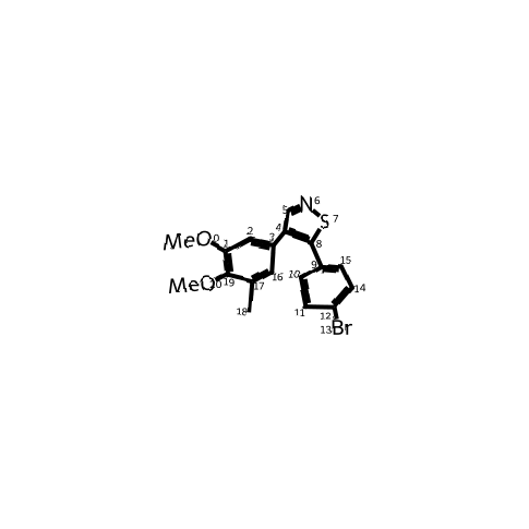 COc1cc(-c2cnsc2-c2ccc(Br)cc2)cc(C)c1OC